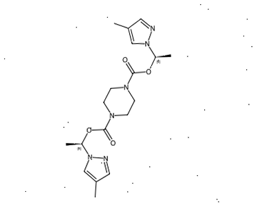 Cc1cnn([C@@H](C)OC(=O)N2CCN(C(=O)O[C@H](C)n3cc(C)cn3)CC2)c1